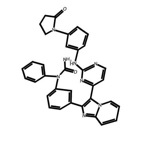 NC(=O)N(c1ccccc1)c1cccc(-c2nc3ccccn3c2-c2ccnc(Nc3cccc(N4CCCC4=O)c3)n2)c1